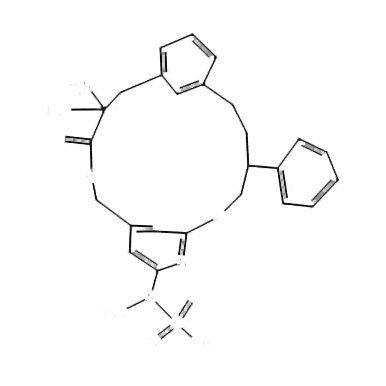 CN(c1cc2cc(n1)CCC(c1ccccc1)CCc1cccc(c1)CC(C)(N)C(=O)OC2)S(C)(=O)=O